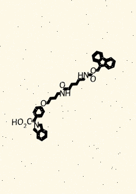 O=C(CCCCCNC(=O)OCC1c2ccccc2-c2ccccc21)NCCCCOc1ccc([C@@H](C(=O)O)N2Cc3ccccc3C2)cc1